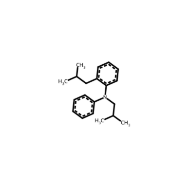 CC(C)Cc1ccccc1N(CC(C)C)c1ccccc1